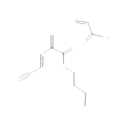 C=C(C=CC#N)C(=O)OCCCC.C=CC(=O)O